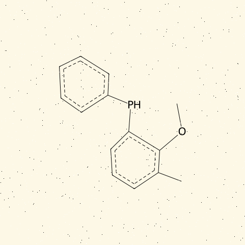 COc1c(C)cccc1Pc1ccccc1